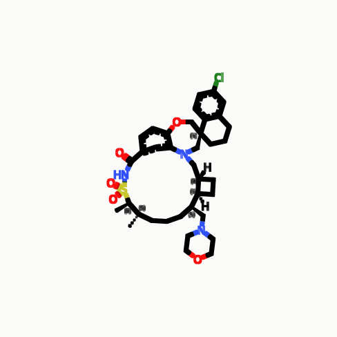 C[C@@H]1[C@@H](C)CCC[C@H](CN2CCOCC2)[C@@H]2CC[C@H]2CN2C[C@@]3(CCCc4cc(Cl)ccc43)COc3ccc(cc32)C(=O)NS1(=O)=O